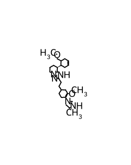 COCC1CC=CCC1[C@@H]1CCCN2N=C(CCC3CCC(N4CNC(C)C4)=C(OC)C3)NC12